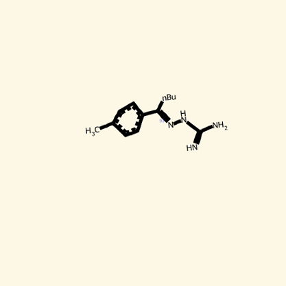 CCCC/C(=N\NC(=N)N)c1ccc(C)cc1